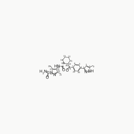 Cc1cc(-c2ccc(C(=O)[C@@H]3CCCC[C@H]3C(=O)Nc3c(C)nn(C(N)=O)c3C)cc2)n[nH]1